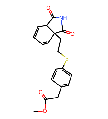 COC(=O)Cc1ccc(SCCC23C=CC=CC2C(=O)NC3=O)cc1